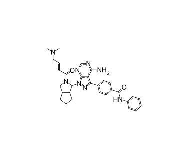 CN(C)C/C=C/C(=O)N1CC2CCCC2C1n1nc(-c2ccc(C(=O)Nc3ccccc3)cc2)c2c(N)ncnc21